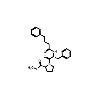 COC(=O)[C@@H]1CCCN1C(=O)[C@H](Cc1ccccc1)NC(=O)CCCc1ccccc1